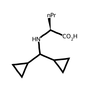 CCC[C@H](NC(C1CC1)C1CC1)C(=O)O